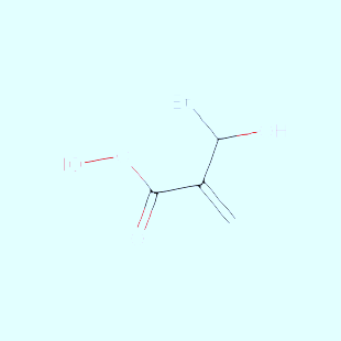 C=C(C(=O)OO)C(O)CC